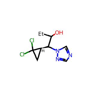 CCC(O)C([C@H]1CC1(Cl)Cl)n1cncn1